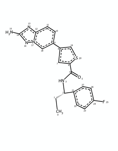 CC[C@H](NC(=O)c1cc(-c2ccc3nc(N)nn3c2)cs1)c1ccc(F)cc1